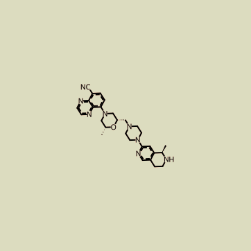 C[C@@H]1CN(c2ccc(C#N)c3nccnc23)C[C@H](CN2CCN(c3cc4c(cn3)CCN[C@@H]4C)CC2)O1